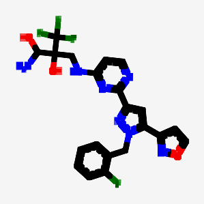 NC(O)C(O)(CNc1ccnc(-c2cc(-c3ccon3)n(Cc3ccccc3F)n2)n1)C(F)(F)F